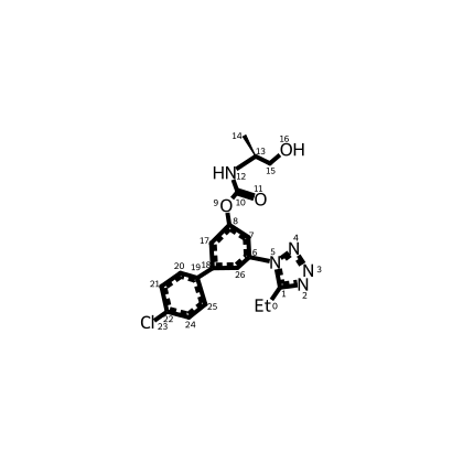 CCc1nnnn1-c1cc(OC(=O)N[C@@H](C)CO)cc(-c2ccc(Cl)cc2)c1